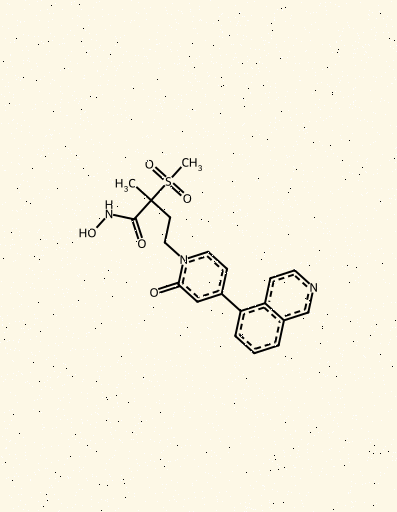 CC(CCn1ccc(-c2cccc3cnccc23)cc1=O)(C(=O)NO)S(C)(=O)=O